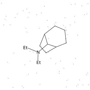 CCN(CC)C1C2C[CH]CC1CC2